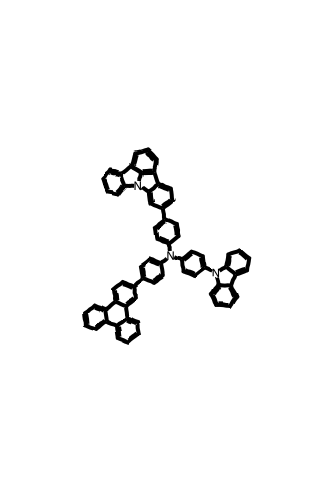 c1ccc2c(c1)c1ccccc1c1cc(-c3ccc(N(c4ccc(-c5ccc6c7cccc8c9ccccc9n(c6c5)c87)cc4)c4ccc(-n5c6ccccc6c6ccccc65)cc4)cc3)ccc21